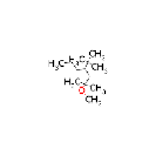 CCCC(CC(C)(C)OC)C(C)(C)C